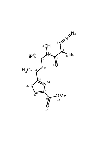 CC[C@H](C)[C@H](N=[N+]=[N-])C(=O)N(C)[C@H](C[C@@H](C)c1nc(C(=O)OC)cs1)C(C)C